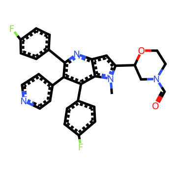 Cn1c(C2CN(C=O)CCO2)cc2nc(-c3ccc(F)cc3)c(-c3ccncc3)c(-c3ccc(F)cc3)c21